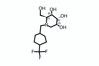 OC[C@H]1[C@@H](O)[C@H](O)[C@@H](O)CN1CC1CCC(C(F)(F)F)CC1